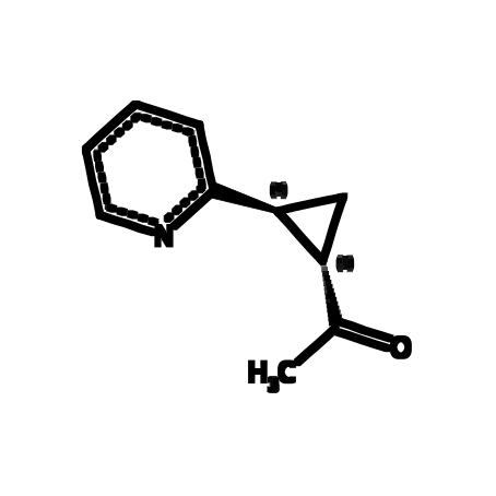 CC(=O)[C@H]1C[C@@H]1c1ccccn1